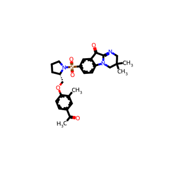 CC(=O)c1ccc(OC[C@@H]2CCCN2S(=O)(=O)c2ccc3c(c2)C(=O)C2=NCC(C)(C)CN23)c(C)c1